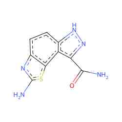 NC(=O)c1n[nH]c2ccc3nc(N)sc3c12